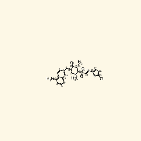 C[C@H]1CN(Cc2ccc3c(N)ccnc3c2)C(=O)[C@H](C)N1S(=O)(=O)C=Cc1ccc(Cl)s1